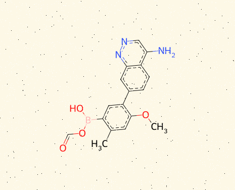 COc1cc(C)c(B(O)OC=O)cc1-c1ccc2c(N)cnnc2c1